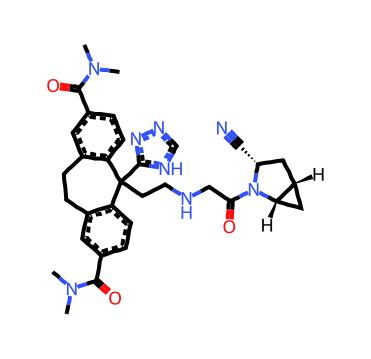 CN(C)C(=O)c1ccc2c(c1)CCc1cc(C(=O)N(C)C)ccc1C2(CCNCC(=O)N1[C@H](C#N)C[C@@H]2C[C@@H]21)c1nnc[nH]1